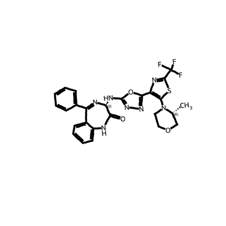 C[C@@H]1COCCN1c1sc(C(F)(F)F)nc1-c1nnc(N[C@H]2N=C(c3ccccc3)c3ccccc3NC2=O)o1